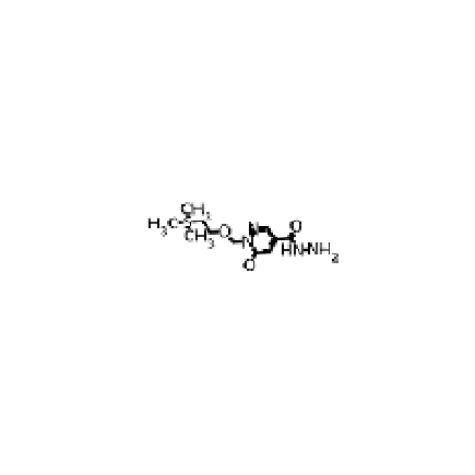 CS(C)(C)CCOCn1ncc(C(=O)NN)cc1=O